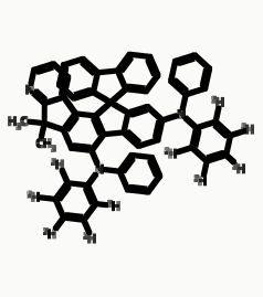 [2H]c1c([2H])c([2H])c(N(c2ccccc2)c2ccc3c(c2)C2(c4ccccc4-c4ccccc42)c2c-3c(N(c3ccccc3)c3c([2H])c([2H])c([2H])c([2H])c3[2H])cc3c2-c2cccnc2C3(C)C)c([2H])c1[2H]